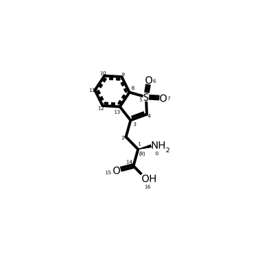 N[C@H](CC1=CS(=O)(=O)c2ccccc21)C(=O)O